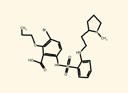 CCCOc1c(Br)ccc(NS(=O)(=O)c2ccccc2NCCC2CCCN2C)c1C(=O)O